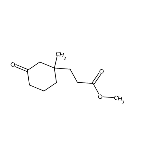 COC(=O)CCC1(C)CCCC(=O)C1